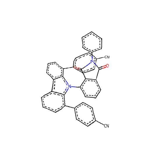 N#Cc1ccc(-c2cccc3c4cccc(-c5ccc(C#N)cc5)c4n(-c4cccc5c4C(=O)N(c4ccccc4)C5=O)c23)cc1